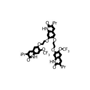 CC(C)c1cc2cc(OCCOc3cc4[nH]c(=O)c(C(C)C)cc4cc3OC(F)(F)F)c(OCCOc3cc4cc(C(C)C)c(=O)[nH]c4cc3OC(F)(F)F)cc2[nH]c1=O